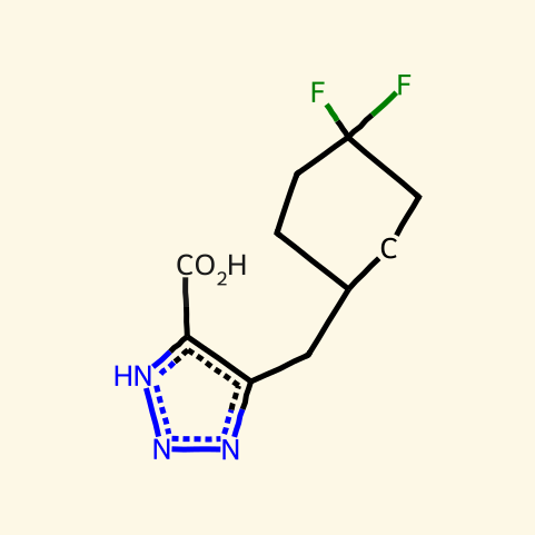 O=C(O)c1[nH]nnc1CC1CCC(F)(F)CC1